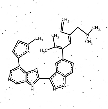 C=C/C(=C\C(=C(C)C)c1ccc2[nH]nc(-c3nc4c(-c5ccc(C)s5)cncc4[nH]3)c2c1)CN(C)C